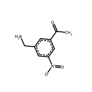 BCc1cc(C(C)=O)cc([N+](=O)[O-])c1